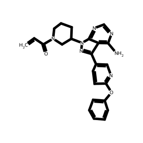 C=CC(=O)N1CCCC(n2nc(-c3ccc(Oc4ccccc4)nc3)c3c(N)ncnc32)C1